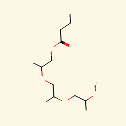 CCCCOC(C)COC(C)COC(C)COC(=O)CCC(C)=O